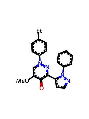 CCc1ccc(-n2cc(OC)c(=O)c(-c3ccnn3-c3ccccc3)n2)cc1